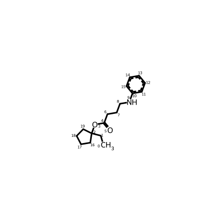 CCC1(OC(=O)CCCNc2ccccc2)CCCC1